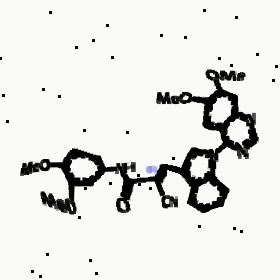 COc1ccc(NC(=O)/C(C#N)=C/c2cn(-c3ncnc4cc(OC)c(OC)cc34)c3ccccc23)cc1OC